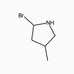 CC1CNC(Br)C1